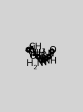 COc1cc(N2CCOCC2)ccc1Nc1nc(N)n(-c2ccc(C(=O)NCCN(C)c3ccccc3C)cc2)n1